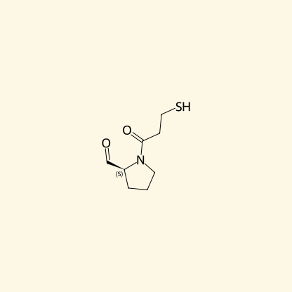 O=C[C@@H]1CCCN1C(=O)CCS